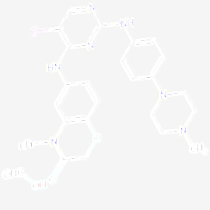 CCCN1C(=O)COc2ccc(Nc3nc(Nc4ccc(N5CCN(C)CC5)cc4)ncc3Cl)cc21.O=CO